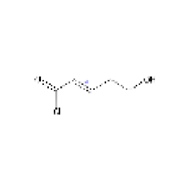 O=C(Cl)/C=C/CCO